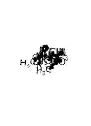 CCCCn1c(O)c(N=Nc2c(C#N)c(C(C)(C)C)nn2-c2ccccn2)c(C)c(C#N)c1=O